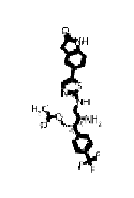 CC(=O)OC[C@@H](c1ccc(C(F)(F)F)cc1)[C@H](N)CNc1ncc(-c2ccc3c(c2)CC(=O)N3)s1